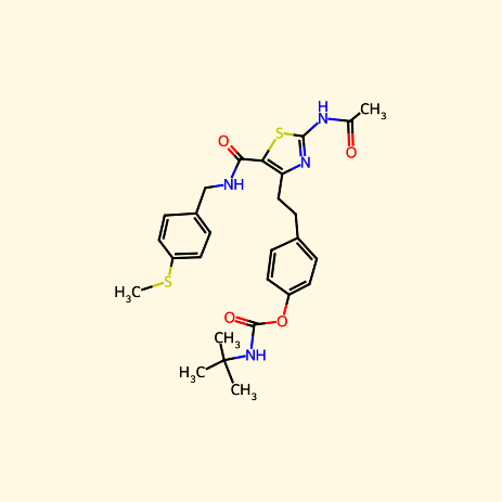 CSc1ccc(CNC(=O)c2sc(NC(C)=O)nc2CCc2ccc(OC(=O)NC(C)(C)C)cc2)cc1